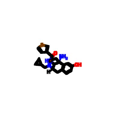 N[C@]12CCN(CC3CC3)[C@H](Cc3ccc(O)cc31)C2NC(=O)c1ccsc1